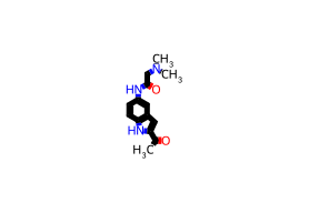 CC(=O)c1cc2cc(NC(=O)CN(C)C)ccc2[nH]1